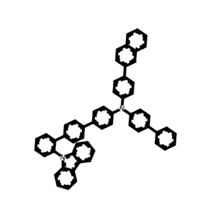 c1ccc(-c2ccc(N(c3ccc(-c4ccc(-c5ccccc5-n5c6ccccc6c6ccccc65)cc4)cc3)c3ccc(-c4ccc5ccccc5c4)cc3)cc2)cc1